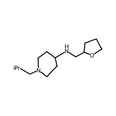 CC(C)CN1CCC(NCC2CCCO2)CC1